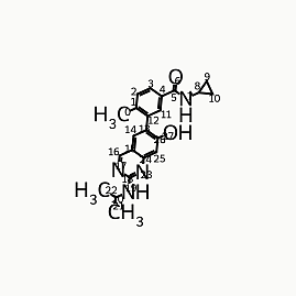 Cc1ccc(C(=O)NC2CC2)cc1-c1cc2cnc(NC(C)C)nc2cc1O